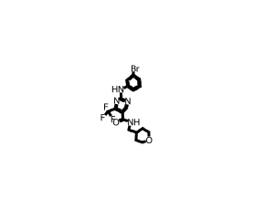 O=C(NCC1CCOCC1)c1cnc(Nc2cccc(Br)c2)nc1C(F)(F)F